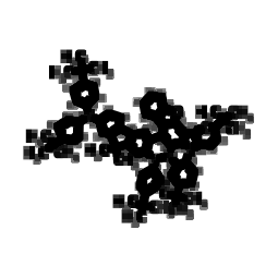 CC(C)(C)c1ccc(N2B3c4cc(C(C)(C)C)ccc4-n4c5ccc(C(C)(C)C)cc5c5c6oc7ccccc7c6c(c3c54)-c3cc4c(cc32)C(C)(C)c2cc(N(c3ccc(C(C)(C)C)cc3)c3ccc(C(C)(C)C)cc3)ccc2-4)cc1